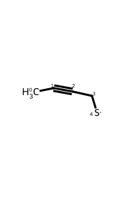 CC#CC[S]